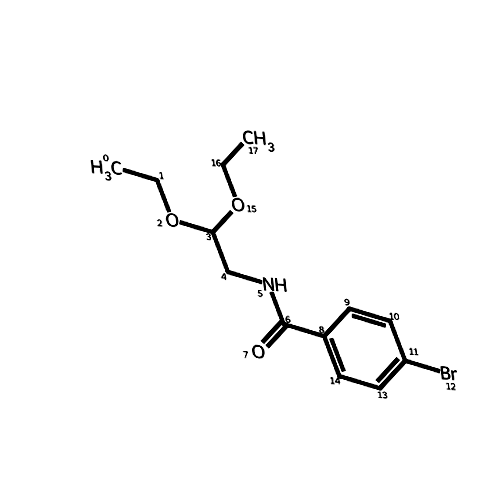 CCOC(CNC(=O)c1ccc(Br)cc1)OCC